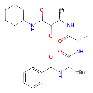 CC(C)[C@@H](NC(=O)[C@H](C)NC(=O)[C@@H](NC(=O)c1ccccc1)C(C)(C)C)C(=O)C(=O)NC1CCCCC1